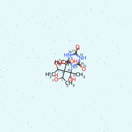 CC(O)C(C(C)O)(C(C)O)C(C)(O)n1c(=O)[nH]c(=O)[nH]c1=O